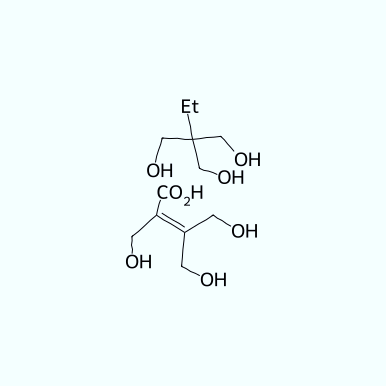 CCC(CO)(CO)CO.O=C(O)C(CO)=C(CO)CO